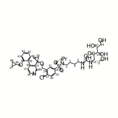 CC(C)N(CCCCNC(=O)N[C@@H](CO)[C@@H](O)[C@H](O)[C@H](O)CO)S(=O)(=O)c1ccc(Cl)c(COC2(c3cnccc3-c3ccccc3OC3CC3)CC2)c1